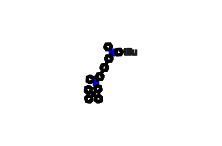 CC(C)(C)c1ccc(N(c2ccccc2)c2ccc(-c3ccc(-c4ccc5c(c4)c4ccccc4n5-c4ccc5c(c4)C(c4ccccc4)(c4ccccc4)c4ccccc4-5)cc3)cc2)cc1